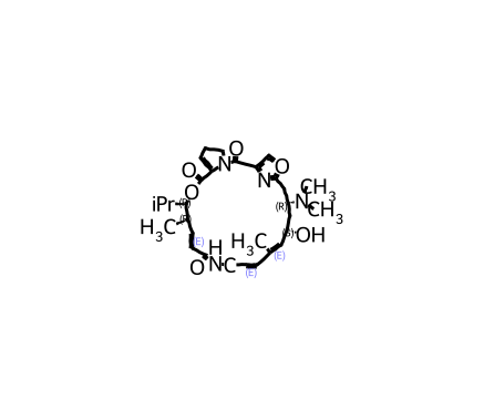 CC1=C\[C@@H](O)C[C@@H](N(C)C)Cc2nc(co2)C(=O)N2CCC=C2C(=O)O[C@H](C(C)C)[C@H](C)/C=C/C(=O)NC\C=C\1